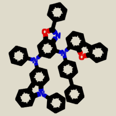 c1ccc(-c2ccc(N(c3cc(N(c4ccccc4)c4ccc5c(c4)c4ccccc4n5-c4ccccc4)cc4oc(-c5ccccc5)nc34)c3cccc4c3oc3ccccc34)cc2)cc1